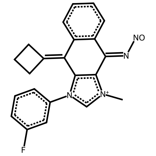 C[n+]1cn(-c2cccc(F)c2)c2c1/C(=N/N=O)c1ccccc1C2=C1CCC1